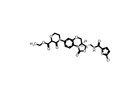 CCOC(=O)C1OCCN(c2ccc3c(c2)OC[C@H]2[C@H](CNC(=O)c4ccc(Cl)s4)OC(=O)N32)C1=O